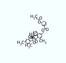 C=CC(=O)OC1CC2CCC1C(C(=O)OCc1cc(C)c(C(=O)P(=O)(C(=O)c3c(C)cc(C)cc3C)c3ccccc3)c(C)c1)C2